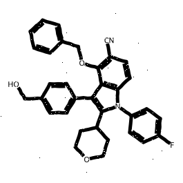 N#Cc1ccc2c(c1OCc1ccccc1)c(-c1ccc(CO)cc1)c(C1CCOCC1)n2-c1ccc(F)cc1